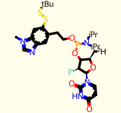 [2H]C[C@H]1O[C@@H](n2ccc(=O)[nH]c2=O)[C@@H](F)C1OP(OCCc1cc2ncn(C)c2cc1SSC(C)(C)C)N(C(C)C)C(C)C